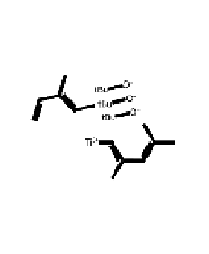 C=CC(C)=CC.CC(C)(C)[O-].CC(C)(C)[O-].CC(C)(C)[O-].CC(C)=CC(C)=[CH][Ti+3]